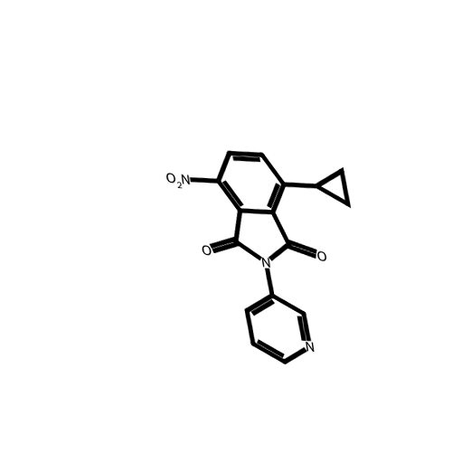 O=C1c2c(C3CC3)ccc([N+](=O)[O-])c2C(=O)N1c1cccnc1